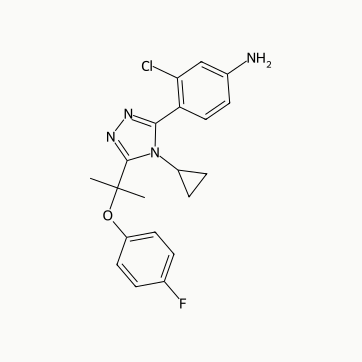 CC(C)(Oc1ccc(F)cc1)c1nnc(-c2ccc(N)cc2Cl)n1C1CC1